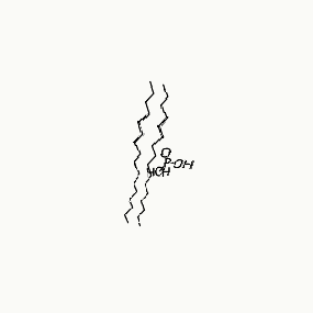 CCCCCCCCCCCCCCCC.CCCCCCCCCCCCCCCC.O=[PH](O)O